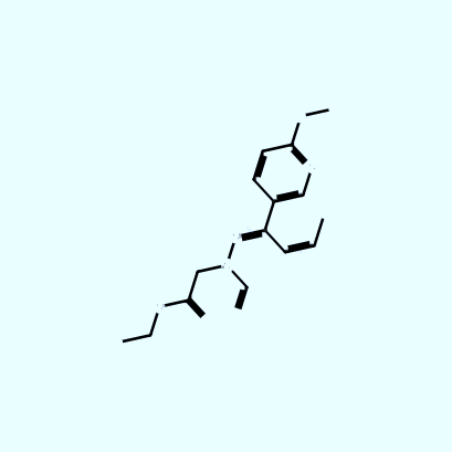 C/C=C\C(=N/N(C=O)CC(=O)NCC)c1ccc(SC)nc1